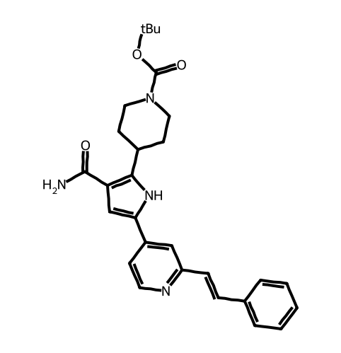 CC(C)(C)OC(=O)N1CCC(c2[nH]c(-c3ccnc(C=Cc4ccccc4)c3)cc2C(N)=O)CC1